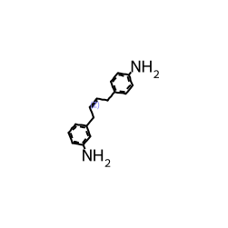 Nc1ccc(C/C=C\Cc2cccc(N)c2)cc1